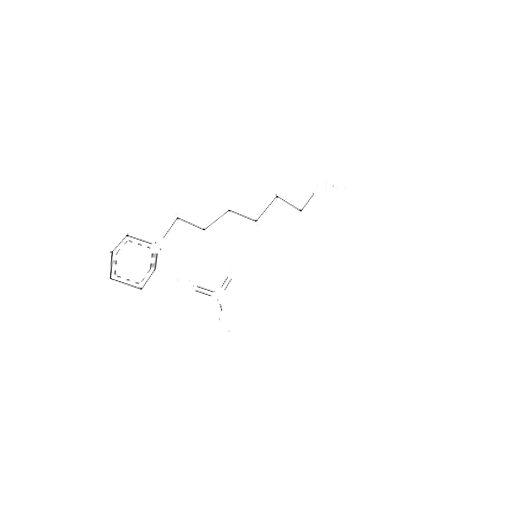 CCCCCCCCCCCCCCCC[n+]1ccccc1.[O]=[V](=[O])[O-]